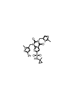 Cc1ncc(Cn2c(=O)c3cc(S(=O)(=O)NC4(C)CC4)sc3n(Cc3cc(C(C)C)nn3C)c2=O)s1